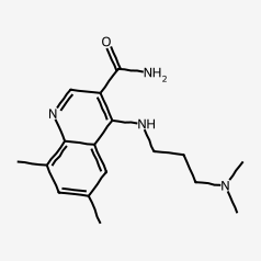 Cc1cc(C)c2ncc(C(N)=O)c(NCCCN(C)C)c2c1